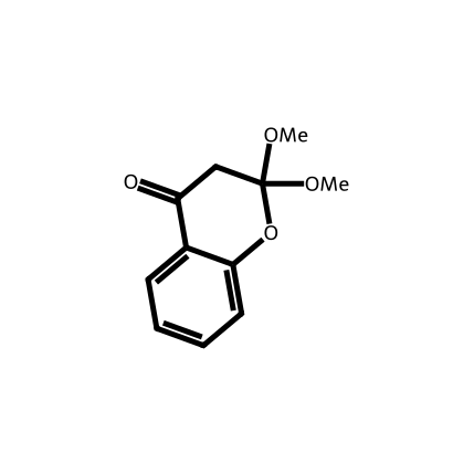 COC1(OC)CC(=O)c2ccccc2O1